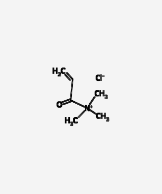 C=CC(=O)[N+](C)(C)C.[Cl-]